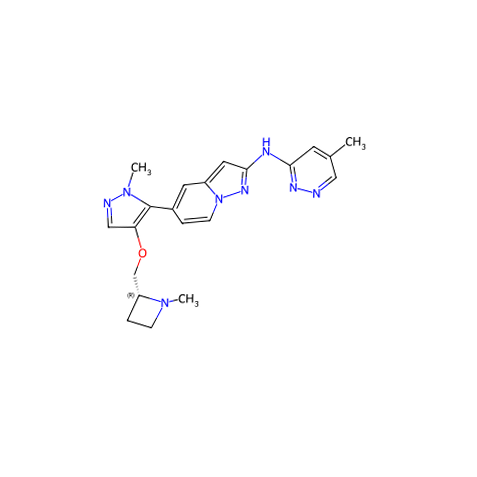 Cc1cnnc(Nc2cc3cc(-c4c(OC[C@H]5CCN5C)cnn4C)ccn3n2)c1